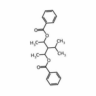 CC(C)C(C(C)OC(=O)c1ccccc1)C(C)OC(=O)c1ccccc1